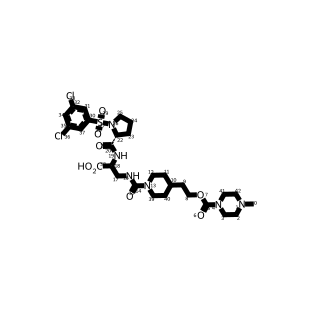 CN1CCN(C(=O)OCCC2CCN(C(=O)NCC(NC(=O)[C@H]3CCCN3S(=O)(=O)c3cc(Cl)cc(Cl)c3)C(=O)O)CC2)CC1